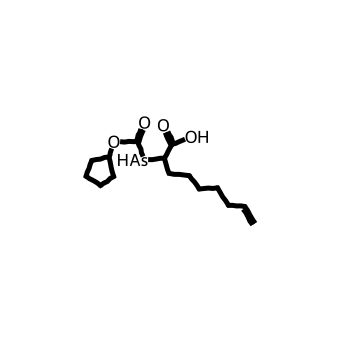 C=CCCCCCC([AsH]C(=O)OC1CCCC1)C(=O)O